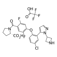 O=C(O)C(F)(F)F.O=C(O)[C@@H]1CCCN1C(=O)c1cc(F)c(Oc2ccc(Cl)cc2-c2ccnn2C2CNC2)cc1F